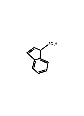 O=S(=O)(O)C1C=Cc2ccccc21